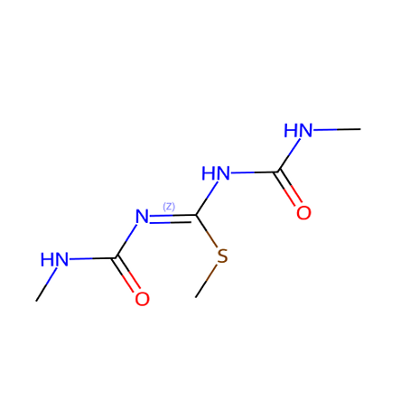 CNC(=O)/N=C(/NC(=O)NC)SC